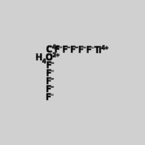 [C+4].[F-].[F-].[F-].[F-].[F-].[F-].[F-].[F-].[F-].[F-].[OH4+2].[Ti+4]